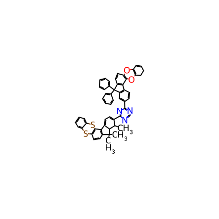 CC1C(c2ncnc(-c3ccc4c(c3)C(c3ccccc3)(c3ccccc3)c3ccc5c(c3-4)OC3=C(C=CCC3)O5)n2)=CC=C2c3c(ccc4c3Sc3ccccc3S4)C(C)(C)C21